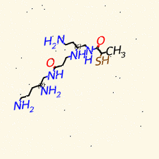 CC(S)C(=O)NC[C@H](CCN)NCCC(=O)NC[C@H](N)CCCN